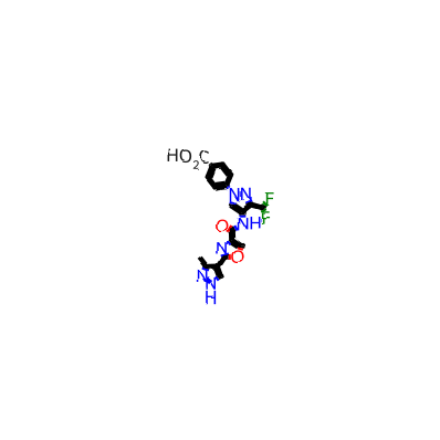 Cc1n[nH]cc1-c1nc(C(=O)Nc2cn(-c3ccc(C(=O)O)cc3)nc2C(F)F)co1